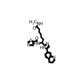 CNC(=O)CCCCCC(NC(=O)c1cncs1)c1ncc(-c2ccc3cccnc3c2)[nH]1